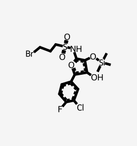 C[Si](C)(C)Oc1c(NS(=O)(=O)CCCBr)oc(-c2ccc(F)c(Cl)c2)c1O